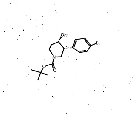 CC(C)(C)OC(=O)N1CC[C@@H](O)[C@H](c2ccc(Br)cc2)C1